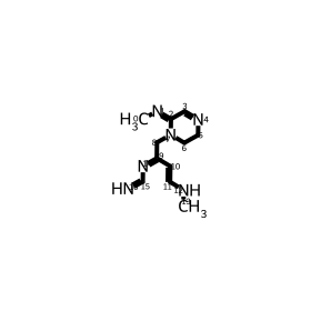 C/N=C1/C=NCCN1CC(/C=C/NC)=N/C=N